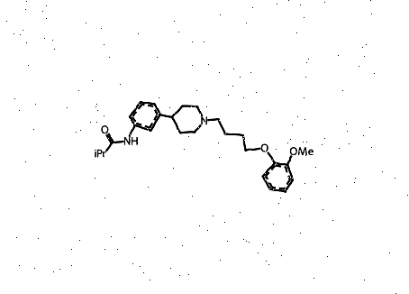 COc1ccccc1OCCCCN1CCC(c2cccc(NC(=O)C(C)C)c2)CC1